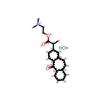 CC(C(=O)OCCN(C)C)c1ccc2c(=O)c3ccccc3ccc2c1.Cl